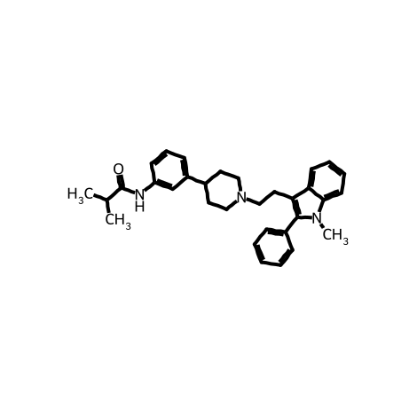 CC(C)C(=O)Nc1cccc(C2CCN(CCc3c(-c4ccccc4)n(C)c4ccccc34)CC2)c1